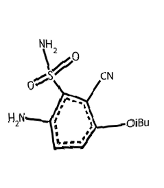 CC(C)COc1ccc(N)c(S(N)(=O)=O)c1C#N